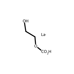 O=C(O)OCCO.[La]